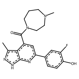 Cc1n[nH]c2nc(-c3ccc(O)c(F)c3)cc(C(=O)N3CCCN(C)CC3)c12